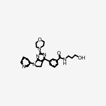 O=C(NCCCO)c1cccc(-c2nc(N3CCOCC3)nc3c2CCN3c2cccnc2)c1